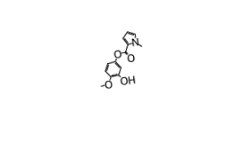 COc1ccc(OC(=O)c2cccn2C)cc1O